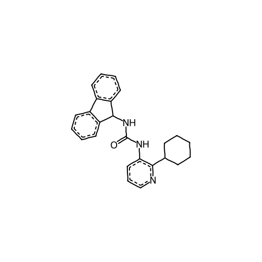 O=C(Nc1cccnc1C1CCCCC1)NC1c2ccccc2-c2ccccc21